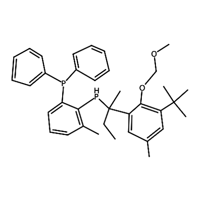 CCC(C)(Pc1c(C)cccc1P(c1ccccc1)c1ccccc1)c1cc(C)cc(C(C)(C)C)c1OCOC